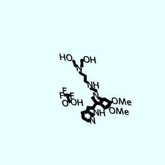 COc1cc2c(-c3cc4cccnc4[nH]3)cn(CCNCCCN(CCO)CCO)c2cc1OC.O=C(O)C(F)(F)F